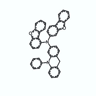 c1ccc(N2c3ccccc3Cc3ccc(N(c4ccc5c(c4)oc4ccccc45)c4cccc5oc6ccccc6c45)cc32)cc1